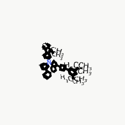 CC(C)(C)c1cc(-c2ccc(-c3ccc(N(c4cccc(C5CCCCC5)c4)c4ccc5c(c4)C(C)(C)c4ccccc4-5)c4c3CCCC4)cc2)cc(C(C)(C)C)c1